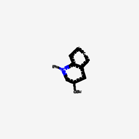 CC(C)COc1cc2ccccc2[n+](C(C)C)c1